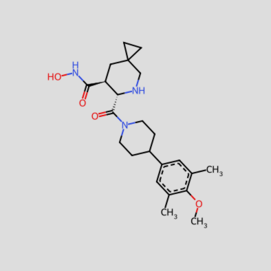 COc1c(C)cc(C2CCN(C(=O)[C@H]3NCC4(CC4)C[C@@H]3C(=O)NO)CC2)cc1C